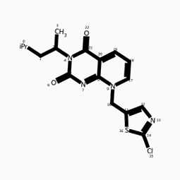 CC(C)CC(C)n1c(=O)nc2n(Cc3cnc(Cl)s3)cccc-2c1=O